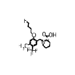 Cc1cc(OCCCCF)c(CN2CCCC[C@H]2C(=O)O)cc1C(F)(F)F